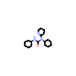 O=C(Nc1ccccc1)N(c1ccccc1)c1ccccn1